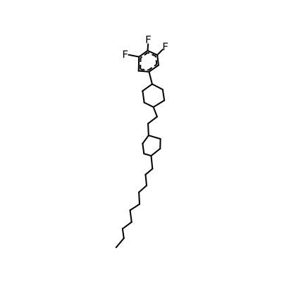 CCCCCCCCCCC1CCC(CCC2CCC(c3cc(F)c(F)c(F)c3)CC2)CC1